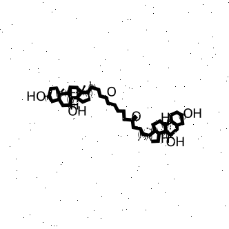 C[C@H](CCC(=O)CCCCCC(=O)CC[C@@H](C)[C@H]1CCC2[C@@H]3[C@@H](O)CC4C[C@H](O)CC[C@]4(C)[C@H]3CC[C@@]21C)[C@H]1CCC2[C@@H]3[C@@H](O)CC4C[C@H](O)CC[C@]4(C)[C@H]3CC[C@@]21C